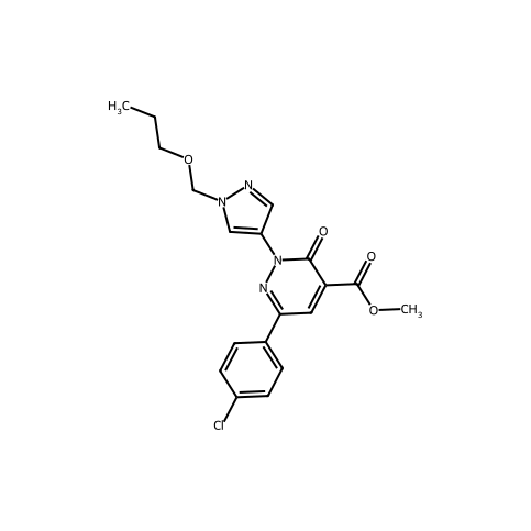 CCCOCn1cc(-n2nc(-c3ccc(Cl)cc3)cc(C(=O)OC)c2=O)cn1